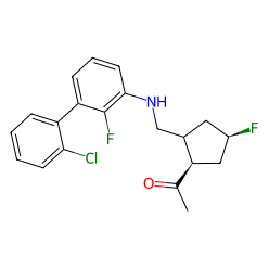 CC(=O)[C@@H]1C[C@H](F)CC1CNc1cccc(-c2ccccc2Cl)c1F